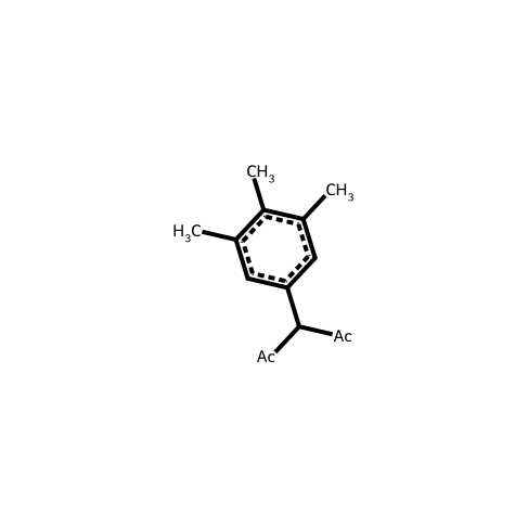 CC(=O)C(C(C)=O)c1cc(C)c(C)c(C)c1